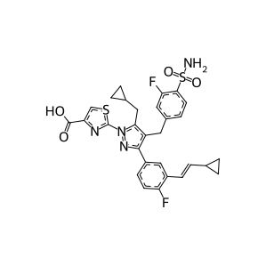 NS(=O)(=O)c1ccc(Cc2c(-c3ccc(F)c(C=CC4CC4)c3)nn(-c3nc(C(=O)O)cs3)c2CC2CC2)cc1F